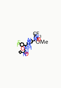 COC[C@H](c1cnn2cc(C(NC(=O)c3nonc3C3CCC3)=C3CCC(F)(F)CC3)nc2c1)N1CC(C(F)(F)F)=NC1=O